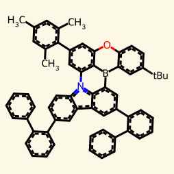 Cc1cc(C)c(-c2cc3c4c(c2)-n2c5ccc(-c6ccccc6-c6ccccc6)cc5c5cc(-c6ccccc6-c6ccccc6)cc(c52)B4c2cc(C(C)(C)C)ccc2O3)c(C)c1